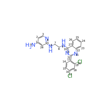 Nc1ccnc(NCCNc2nc(-c3ccc(Cl)cc3Cl)nc3ccccc23)c1